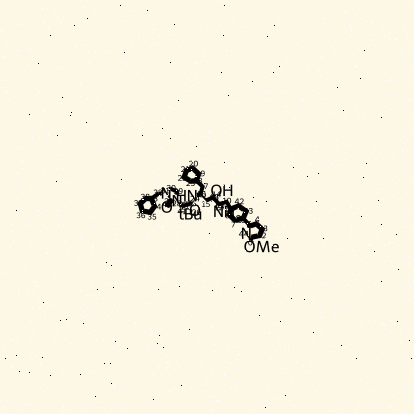 COc1cccc(-c2ccc(C[C@H](N)[C@@H](O)C[C@H](Cc3ccccc3)NC(=O)[C@@H](N3CCN(Cc4ccccc4)C3=O)C(C)(C)C)cc2)n1